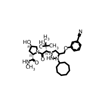 CNC(=O)[C@@H]1C[C@@H](O)CN1C(=O)[C@@H](N1CC(COc2cccc(C#N)c2)N(C2CCCCCCC2)N1)C(C)(C)C